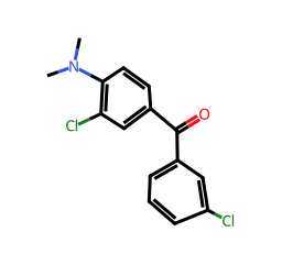 CN(C)c1ccc(C(=O)c2cccc(Cl)c2)cc1Cl